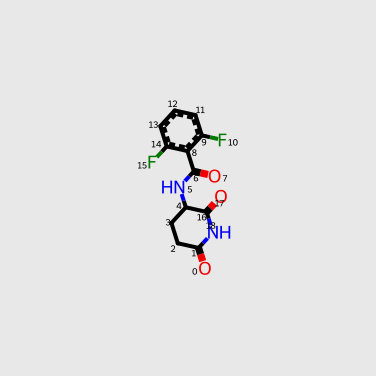 O=C1CCC(NC(=O)c2c(F)cccc2F)C(=O)N1